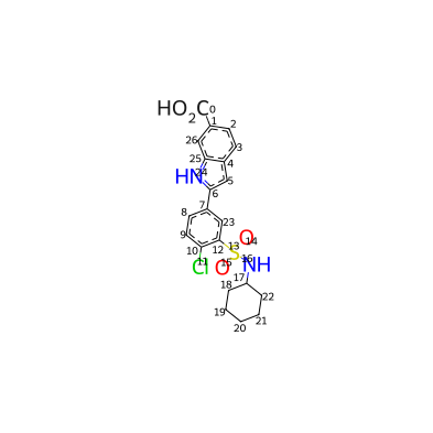 O=C(O)c1ccc2cc(-c3ccc(Cl)c(S(=O)(=O)NC4CCCCC4)c3)[nH]c2c1